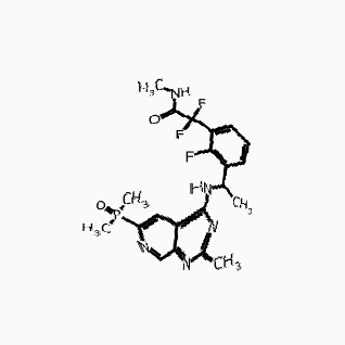 CNC(=O)C(F)(F)c1cccc(C(C)Nc2nc(C)nc3cnc(P(C)(C)=O)cc23)c1F